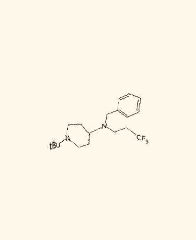 CC(C)(C)N1CCC(N(CCC(F)(F)F)Cc2ccccc2)CC1